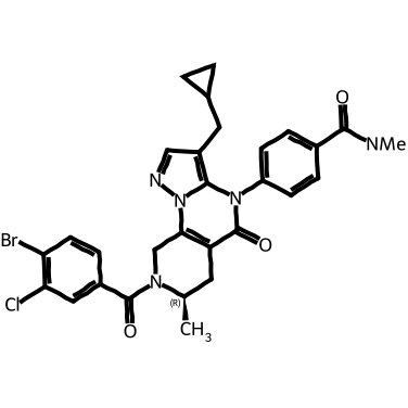 CNC(=O)c1ccc(-n2c(=O)c3c(n4ncc(CC5CC5)c24)CN(C(=O)c2ccc(Br)c(Cl)c2)[C@H](C)C3)cc1